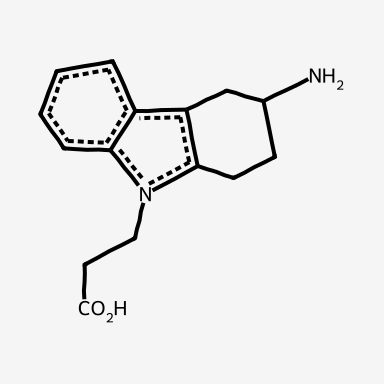 NC1CCc2c(c3ccccc3n2CCC(=O)O)C1